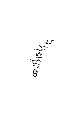 C=C/C=C\C(=C)C[C@@H](C(=O)N[C@H](C(=O)N(C)C(C)C(=O)N(C)[C@@H](CC(C)C)C(=O)N(C)[C@H](C)CC1C2=C3CCC(=C1CC2)C3)C(C)CC)N(C)C